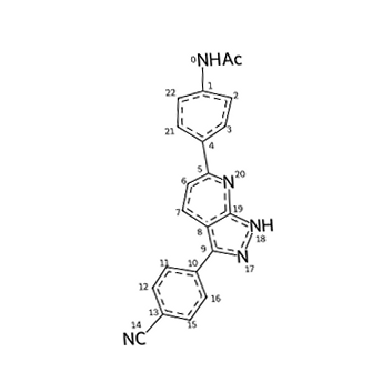 CC(=O)Nc1ccc(-c2ccc3c(-c4ccc(C#N)cc4)n[nH]c3n2)cc1